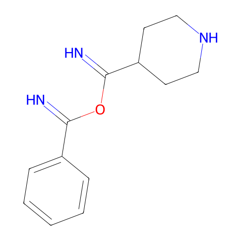 N=C(OC(=N)C1CCNCC1)c1ccccc1